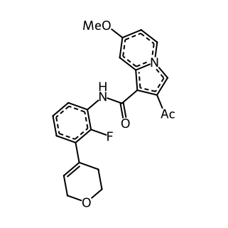 COc1ccn2cc(C(C)=O)c(C(=O)Nc3cccc(C4=CCOCC4)c3F)c2c1